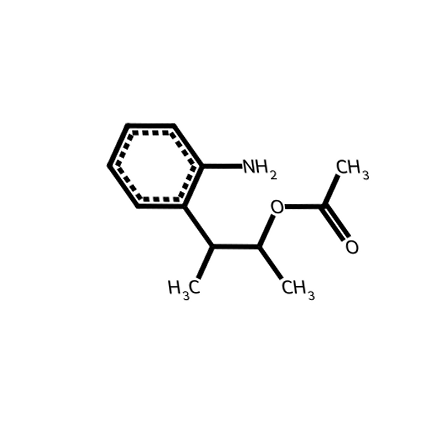 CC(=O)OC(C)C(C)c1ccccc1N